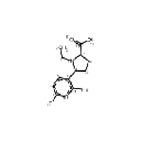 CCN1C(c2ccc(F)nc2F)CC[C@@H]1C(=O)O